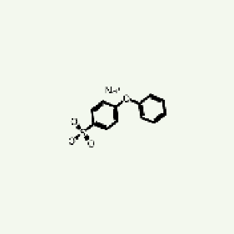 O=S(=O)([O-])c1ccc(Oc2ccccc2)cc1.[Na+]